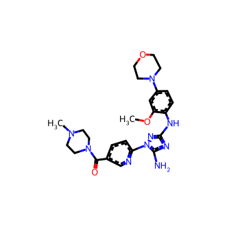 COc1cc(N2CCOCC2)ccc1Nc1nc(N)n(-c2ccc(C(=O)N3CCN(C)CC3)cn2)n1